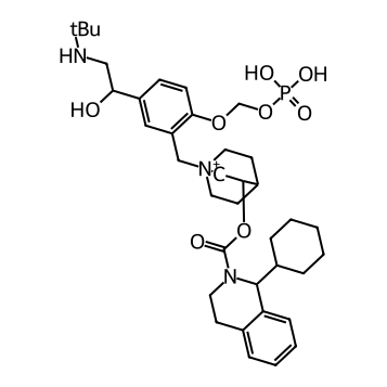 CC(C)(C)NCC(O)c1ccc(OCOP(=O)(O)O)c(C[N+]23CCC(CC2)C(OC(=O)N2CCc4ccccc4C2C2CCCCC2)C3)c1